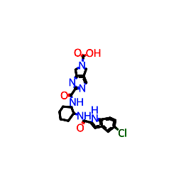 O=C(NC1CCCCC1NC(=O)c1cc2cc(Cl)ccc2[nH]1)c1ncc2c(n1)CN(C(=O)O)C2